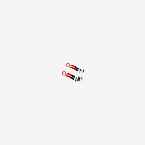 [O]=[AlH].[O]=[Pu]